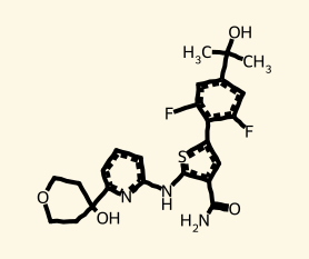 CC(C)(O)c1cc(F)c(-c2cc(C(N)=O)c(Nc3cccc(C4(O)CCOCC4)n3)s2)c(F)c1